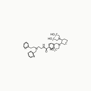 O=C(O)CN(CC(=O)O)C1CCCCC1N(CC(=O)O)Cc1ccc(C(=O)NCCN(CCc2ccccn2)Cc2ccccn2)cn1